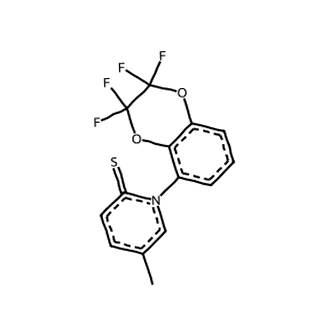 Cc1ccc(=S)n(-c2cccc3c2OC(F)(F)C(F)(F)O3)c1